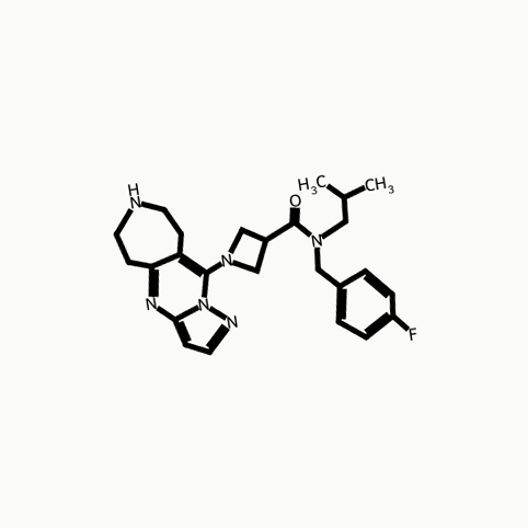 CC(C)CN(Cc1ccc(F)cc1)C(=O)C1CN(c2c3c(nc4ccnn24)CCNCC3)C1